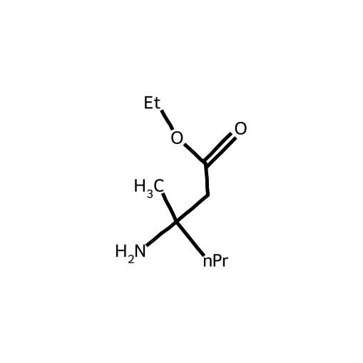 CCCC(C)(N)CC(=O)OCC